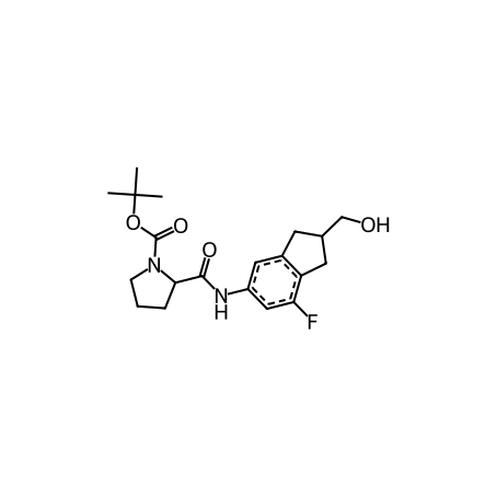 CC(C)(C)OC(=O)N1CCCC1C(=O)Nc1cc(F)c2c(c1)CC(CO)C2